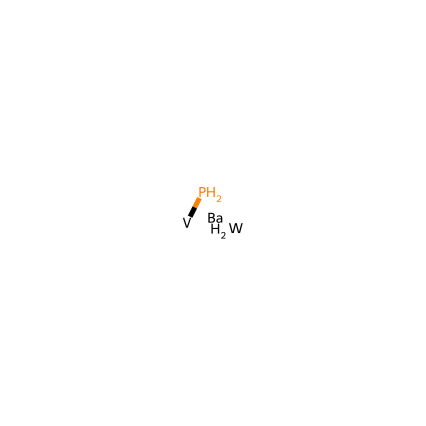 [BaH2].[PH2][V].[W]